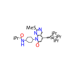 CSc1ncc2c(C#C[Si](C(C)C)(C(C)C)C(C)C)cc(=O)n(C3CCC(NC(=O)C(C)C)CC3)c2n1